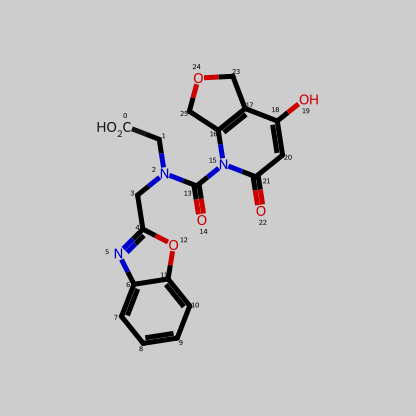 O=C(O)CN(Cc1nc2ccccc2o1)C(=O)n1c2c(c(O)cc1=O)COC2